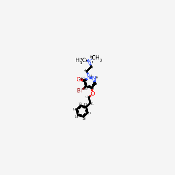 CN(C)CCn1ncc(OCCc2ccccc2)c(Br)c1=O